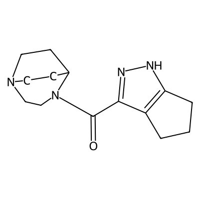 O=C(c1n[nH]c2c1CCC2)N1CCN2CCC1CC2